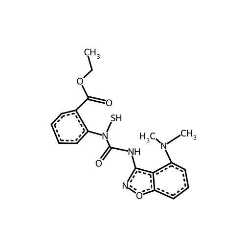 CCOC(=O)c1ccccc1N(S)C(=O)Nc1noc2cccc(N(C)C)c12